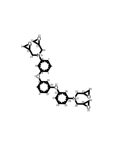 c1cc(Oc2cccc(N(CC3CO3)CC3CO3)c2)cc(Oc2cccc(N(CC3CO3)CC3CO3)c2)c1